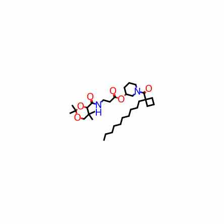 CCCCCCCCCCC1(C(=O)N2CCCC(OC(=O)CCNC(=O)C3OC(C)(C)OCC3(C)C)C2)CCC1